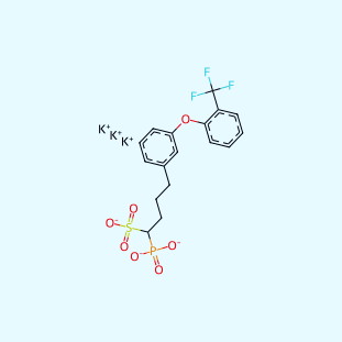 O=P([O-])([O-])C(CCCc1cccc(Oc2ccccc2C(F)(F)F)c1)S(=O)(=O)[O-].[K+].[K+].[K+]